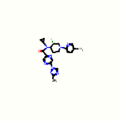 Cc1ncn(-c2cnc(C(=O)N(C3CC3)[C@@H]3CCN(c4ccc(C(F)(F)F)cn4)C[C@@H]3F)cn2)n1